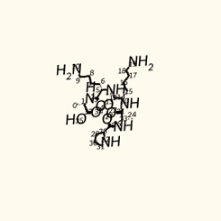 C[C@H](NC(=O)[C@H](CCCCN)NC(=O)[C@H](CCCCN)NC(=O)[C@H](C)NC(=O)[C@@H]1CCCN1)C(=O)O